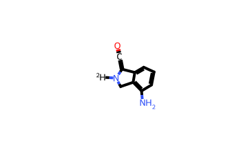 [2H]N1Cc2c(N)cccc2C1=C=O